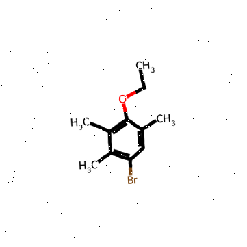 CCOc1c(C)cc(Br)c(C)c1C